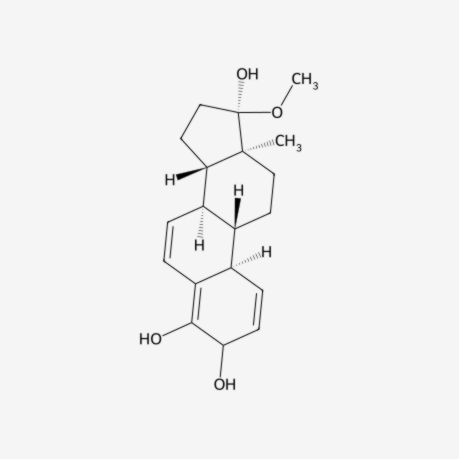 CO[C@]1(O)CC[C@H]2[C@@H]3C=CC4=C(O)C(O)C=C[C@@H]4[C@H]3CC[C@@]21C